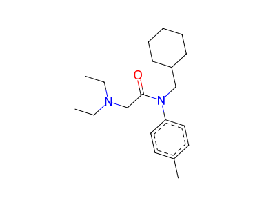 CCN(CC)CC(=O)N(CC1CCCCC1)c1ccc(C)cc1